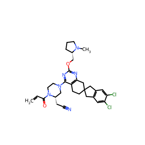 C=CC(=O)N1CCN(c2nc(OC[C@@H]3CCCN3C)nc3c2CCC2(Cc4cc(Cl)c(Cl)cc4C2)C3)C[C@@H]1CC#N